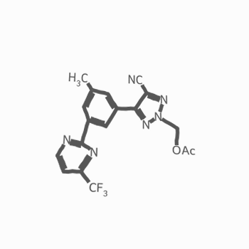 CC(=O)OCn1nc(C#N)c(-c2cc(C)cc(-c3nccc(C(F)(F)F)n3)c2)n1